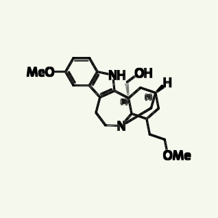 COCCC1C[C@@H]2CN3CCc4c([nH]c5ccc(OC)cc45)[C@@](CO)(C2)C13